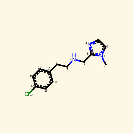 Cn1ccnc1CNCCc1ccc(Cl)cc1